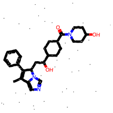 CC1=C(c2ccccc2)C(CC(O)C2CCC(C(=O)N3CCC(O)CC3)CC2)n2cncc21